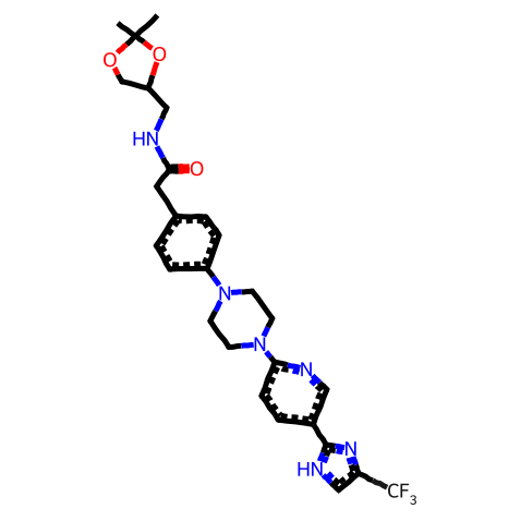 CC1(C)OCC(CNC(=O)Cc2ccc(N3CCN(c4ccc(-c5nc(C(F)(F)F)c[nH]5)cn4)CC3)cc2)O1